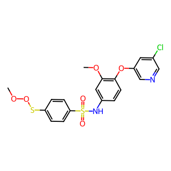 COOSc1ccc(S(=O)(=O)Nc2ccc(Oc3cncc(Cl)c3)c(OC)c2)cc1